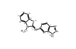 Cn1/c(=N/c2c[c]c3nn[nH]c3c2)sc2ccccc21